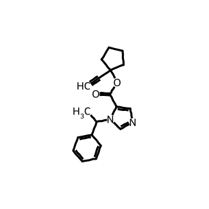 C#CC1(OC(=O)c2cncn2C(C)c2ccccc2)CCCC1